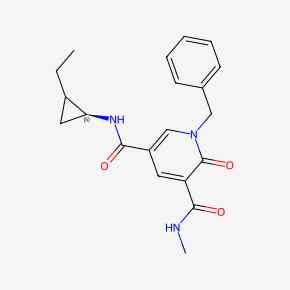 CCC1C[C@@H]1NC(=O)c1cc(C(=O)NC)c(=O)n(Cc2ccccc2)c1